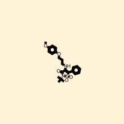 COc1ccc(OCCCNC2=C(c3ccccc3)S(=O)(=O)N(C(C)(C)C)C2=O)cc1